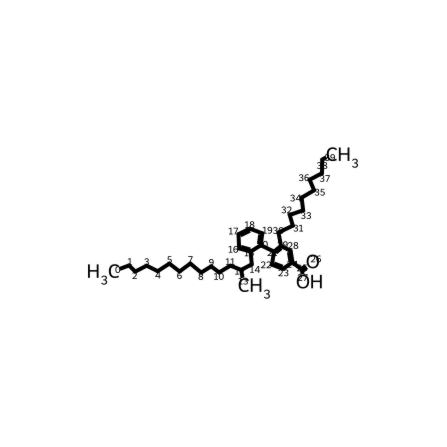 CCCCCCCCCCCCC(C)Cc1ccccc1-c1ccc(C(=O)O)cc1CCCCCCCCCC